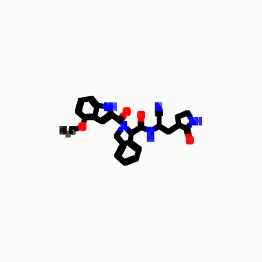 COc1cccc2[nH]c(C(=O)N3Cc4ccccc4C3C(=O)NC(C#N)CC3CCNC3=O)cc12